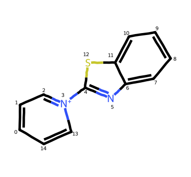 c1cc[n+](-c2nc3ccccc3s2)cc1